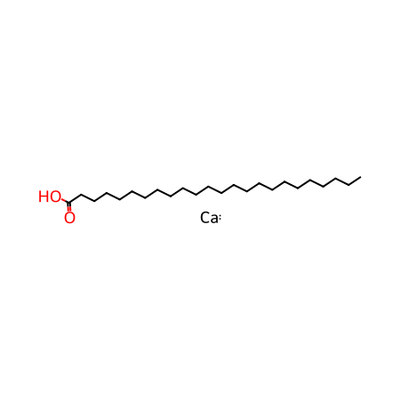 CCCCCCCCCCCCCCCCCCCCCCCC(=O)O.[Ca]